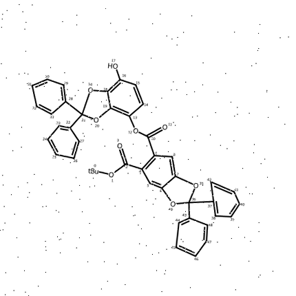 CC(C)(C)OC(=O)c1cc2c(cc1C(=O)Oc1ccc(O)c3c1OC(c1ccccc1)(c1ccccc1)O3)OC(c1ccccc1)(c1ccccc1)O2